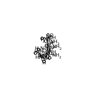 CC(C)C[C@H](NC(=O)[C@H](CCCN)NC(=O)[C@H](CCCN)NC(=O)[C@H](CCCN)NC(=O)[C@H](CCCN)NC(=O)[C@H](CCCN)NC(=O)[C@@H](Cc1ccccc1)NC(=O)[C@H](Cc1ccccc1)NC(=O)OCC1c2ccccc2-c2ccccc21)C(=O)N[C@H](Cc1ccccc1)C(=O)N1CCC[C@H]1C(=O)O